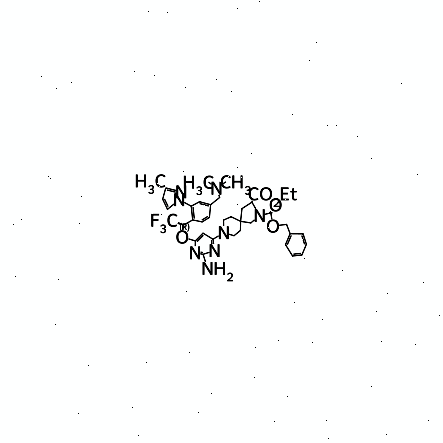 CCOC(=O)C1CC2(CCN(c3cc(O[C@H](c4ccc(CN(C)C)cc4-n4ccc(C)n4)C(F)(F)F)nc(N)n3)CC2)CN1C(=O)OCc1ccccc1